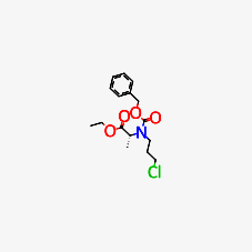 CCOC(=O)[C@@H](C)N(CCCCl)C(=O)OCc1ccccc1